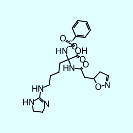 O=C(CC1CC=NO1)NC(CCCCNC1=NCCN1)(NS(=O)(=O)c1ccccc1)C(=O)O